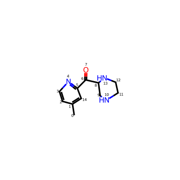 Cc1ccnc(C(=O)C2CNCCN2)c1